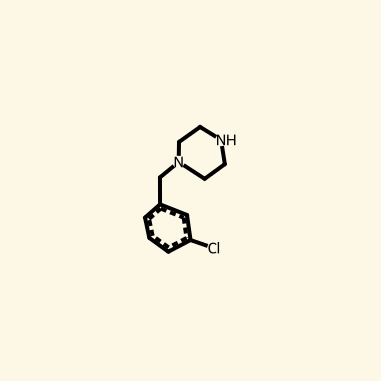 Clc1cccc(CN2CCNCC2)c1